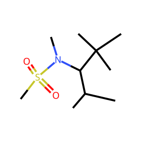 CC(C)C(N(C)S(C)(=O)=O)C(C)(C)C